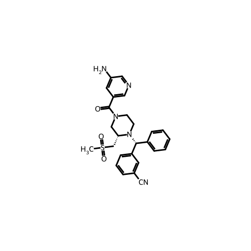 CS(=O)(=O)C[C@@H]1CN(C(=O)c2cncc(N)c2)CCN1[C@H](c1ccccc1)c1cccc(C#N)c1